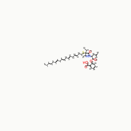 CCC=CCC=CCC=CCC=CCC=CCCSC(CC)(CC)C(=O)NC(CC(C)C)C(=O)Oc1ccccc1C(=O)O